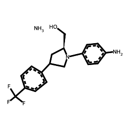 N.Nc1ccc(N2CC(c3ccc(C(F)(F)F)cc3)C[C@H]2CO)cc1